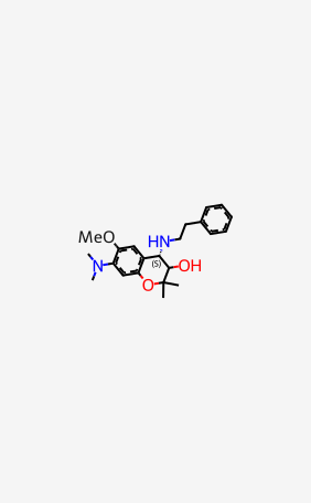 COc1cc2c(cc1N(C)C)OC(C)(C)C(O)[C@H]2NCCc1ccccc1